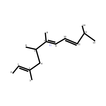 CC=C(C)CC(C)/C(C)=[C]/C=CC(C)C